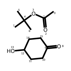 CC(=O)OC(C)(C)C.O=C1CCC(O)CC1